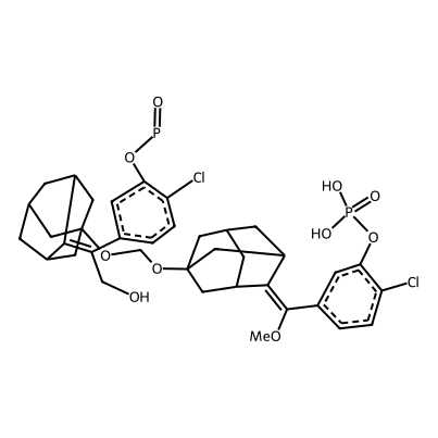 COC(=C1C2CC3CC1CC(OCOC14CC5CC(C1)C(=C(CO)c1ccc(Cl)c(OP=O)c1)C(C5)C4)(C3)C2)c1ccc(Cl)c(OP(=O)(O)O)c1